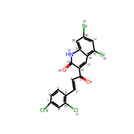 O=C(C=Cc1ccc(Cl)cc1Cl)c1cc2c(Br)cc(Br)cc2[nH]c1=O